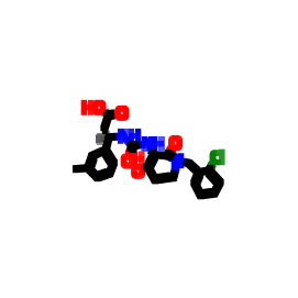 Cc1cccc([C@H](CC(=O)O)NC(=O)Nc2c(O)ccn(Cc3ccccc3Cl)c2=O)c1